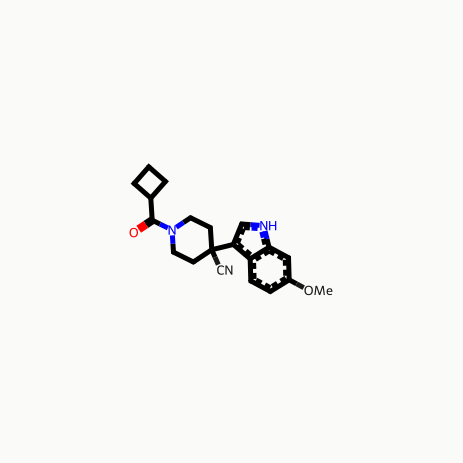 COc1ccc2c(C3(C#N)CCN(C(=O)C4CCC4)CC3)c[nH]c2c1